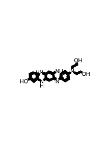 N=C1C=C(N)/C(=N\c2ccc(N(CCO)CCO)cc2)C=C1Nc1cccc(O)c1